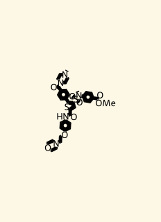 COC(=O)c1ccc(N(C)S(=O)(=O)c2cc(C(=O)Nc3ccc(OCCN4CCOCC4)cc3)sc2-c2ccc(C(=O)N3CCN(C)CC3)cc2)cc1